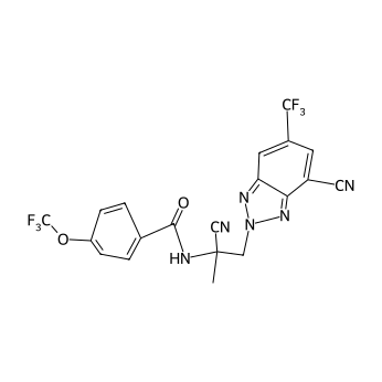 CC(C#N)(Cn1nc2cc(C(F)(F)F)cc(C#N)c2n1)NC(=O)c1ccc(OC(F)(F)F)cc1